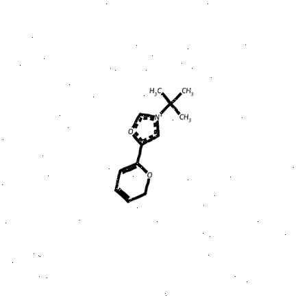 CC(C)(C)[n+]1coc(C2=CC=CCO2)c1